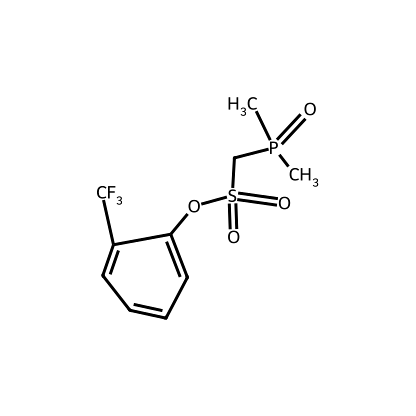 CP(C)(=O)CS(=O)(=O)Oc1ccccc1C(F)(F)F